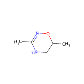 CC1=NOC(C)CN1